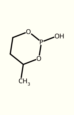 CC1CCOP(O)O1